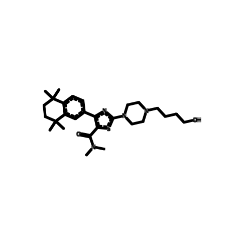 CN(C)C(=O)c1sc(N2CCN(CCCCO)CC2)nc1-c1ccc2c(c1)C(C)(C)CCC2(C)C